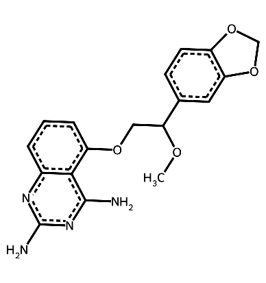 COC(COc1cccc2nc(N)nc(N)c12)c1ccc2c(c1)OCO2